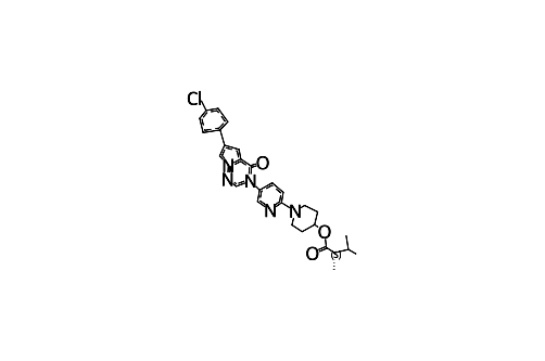 CC(C)[C@H](C)C(=O)OC1CCN(c2ccc(-n3cnn4cc(-c5ccc(Cl)cc5)cc4c3=O)cn2)CC1